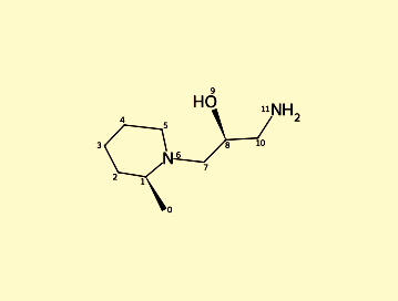 C[C@H]1CCCCN1C[C@@H](O)CN